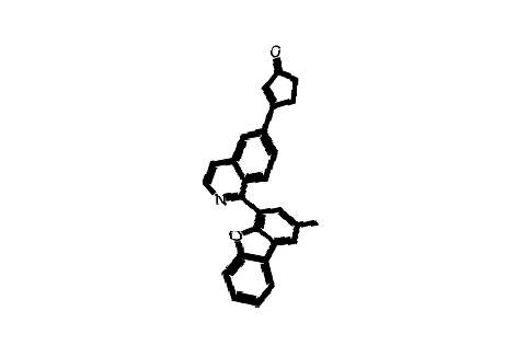 Cc1cc(-c2nccc3cc(C4=CC(=O)CC4)ccc23)c2oc3ccccc3c2c1